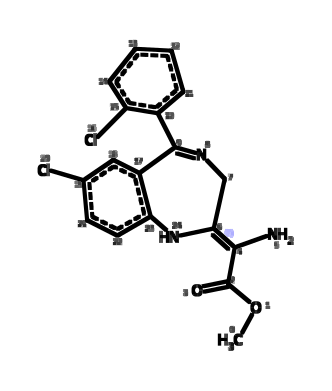 COC(=O)/C(N)=C1/CN=C(c2ccccc2Cl)c2cc(Cl)ccc2N1